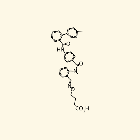 Cc1ccc(-c2ccccc2C(=O)Nc2ccc(C(=O)N(C)c3ccccc3C=NOCCCC(=O)O)cc2)cc1